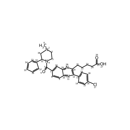 CN1CCN(C(=O)c2ccc3nc(-c4ccc(Cl)cc4)c(CCCCC(=O)O)nc3c2)C(c2ccccc2)C1